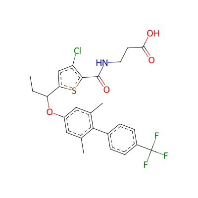 CCC(Oc1cc(C)c(-c2ccc(C(F)(F)F)cc2)c(C)c1)c1cc(Cl)c(C(=O)NCCC(=O)O)s1